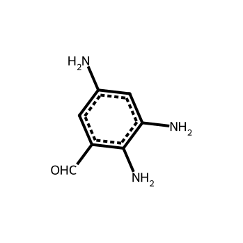 Nc1cc(N)c(N)c(C=O)c1